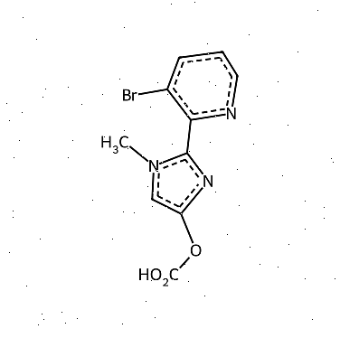 Cn1cc(OC(=O)O)nc1-c1ncccc1Br